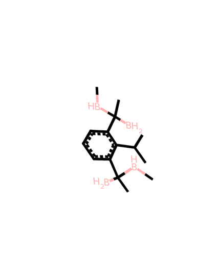 BC(C)(BC)c1cccc(C(B)(C)BC)c1C(C)C